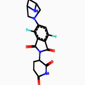 O=C1CCC(N2C(=O)c3c(F)cc(N4CC5CC(C4)N5)c(F)c3C2=O)C(=O)N1